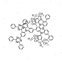 CC(C)(C)c1cc(N2c3cc(-c4ccccc4)ccc3B3c4ccc(-c5ccccc5)cc4N(c4cc(C(C)(C)C)cc(C(C)(C)C)c4)c4cc(-c5ccc6c(c5)c5ccccc5n6-c5ccc(-c6nc(-c7ccccc7)nc(-c7ccccc7)n6)cc5-c5nc(-c6ccccc6)nc(-c6ccccc6)n5)cc2c43)cc(C(C)(C)C)c1